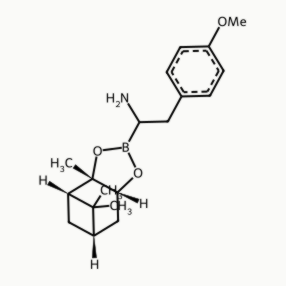 COc1ccc(CC(N)B2O[C@@H]3C[C@@H]4C[C@@H](C4(C)C)[C@]3(C)O2)cc1